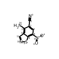 N#Cc1cc([N+](=O)[O-])c2sncc2c1N